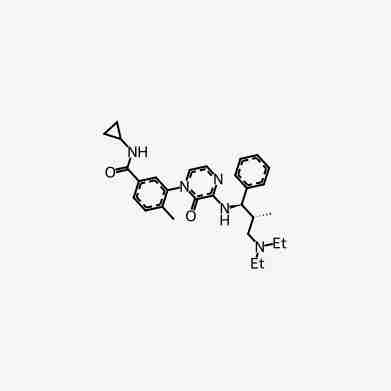 CCN(CC)C[C@@H](C)[C@@H](Nc1nccn(-c2cc(C(=O)NC3CC3)ccc2C)c1=O)c1ccccc1